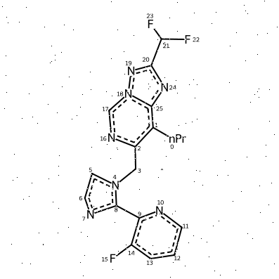 CCCc1c(Cn2ccnc2-c2ncccc2F)ncn2nc(C(F)F)nc12